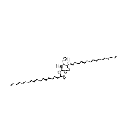 CCCCCCCCC=CCCCCCCCC(=O)OC(=O)NC(CO)C(=O)OCCCCCCCCCCCCCCCC